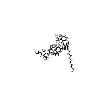 CCCCCCCCCCCCC(Oc1ccc(O)c(C(C)(C)C)c1)C(=O)Nc1cc(Cl)c(-n2[nH]c(Nc3ccc(Cl)cc3Cl)cc2=O)c(Cl)c1